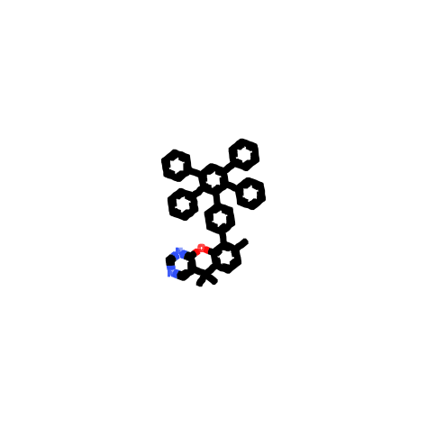 Cc1ccc2c(c1-c1ccc(-c3c(-c4ccccc4)c(-c4ccccc4)cc(-c4ccccc4)c3-c3ccccc3)cc1)Oc1ncncc1C2(C)C